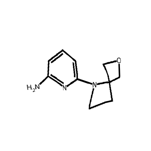 Nc1cccc(N2CCC23COC3)n1